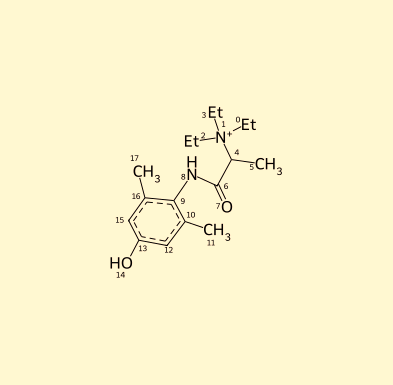 CC[N+](CC)(CC)C(C)C(=O)Nc1c(C)cc(O)cc1C